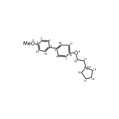 COc1ccc(-c2ccc(OCCN3CCCC3)cc2)cc1